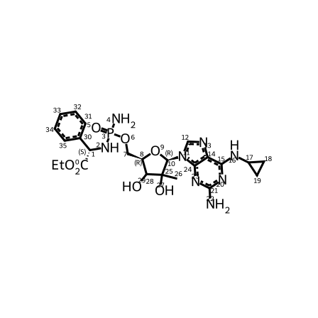 CCOC(=O)[C@@H](NP(N)(=O)OC[C@H]1O[C@@H](n2cnc3c(NC4CC4)nc(N)nc32)C(C)(O)C1O)c1ccccc1